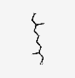 BrCC(Br)CCCCC(Br)CBr